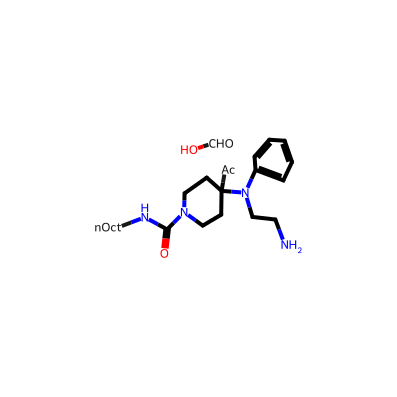 CCCCCCCCNC(=O)N1CCC(C(C)=O)(N(CCN)c2ccccc2)CC1.O=CO